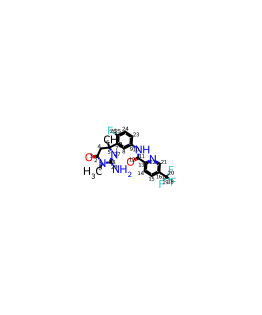 CN1C(=O)CC(C)(c2cc(NC(=O)c3ccc(C(F)(F)F)cn3)ccc2F)N=C1N